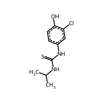 CC(C)NC(=S)Nc1ccc(O)c(Cl)c1